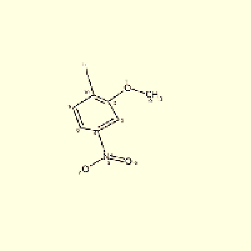 COc1cc([N+](=O)[O-])ccc1I